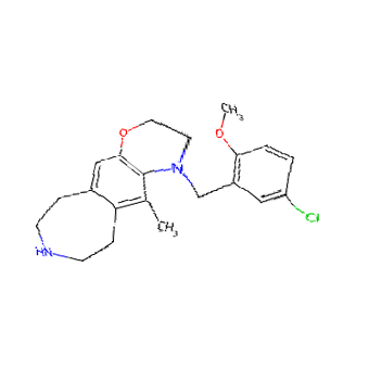 COc1ccc(Cl)cc1CN1CCOc2cc3c(c(C)c21)CCNCC3